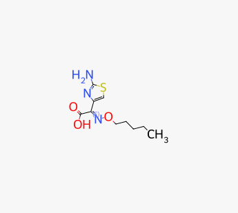 CCCCCO/N=C(/C(=O)O)c1csc(N)n1